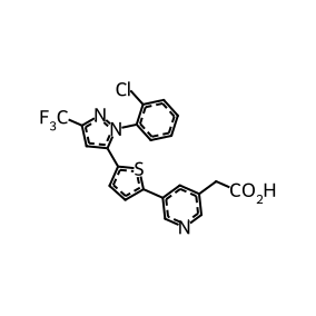 O=C(O)Cc1cncc(-c2ccc(-c3cc(C(F)(F)F)nn3-c3ccccc3Cl)s2)c1